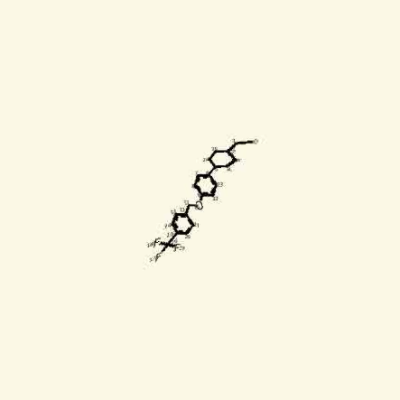 CCC1CCC(c2ccc(OCc3ccc(C(F)(F)F)cc3)cc2)CC1